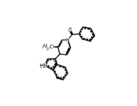 CC1=CN(C(=O)c2ccccc2)C=CC1c1c[nH]c2ccccc12